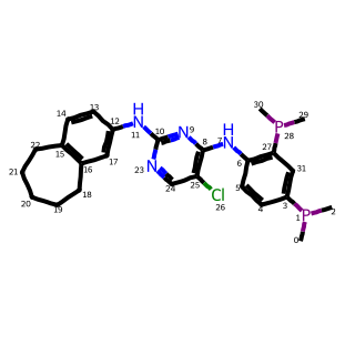 CP(C)c1ccc(Nc2nc(Nc3ccc4c(c3)CCCCC4)ncc2Cl)c(P(C)C)c1